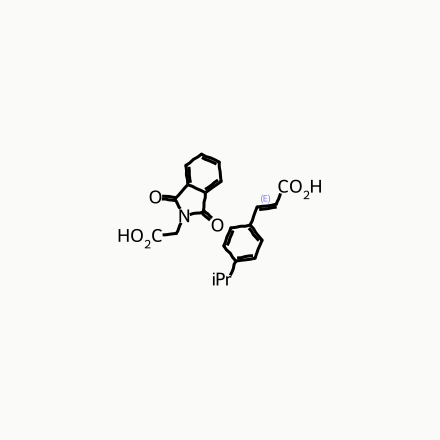 CC(C)c1ccc(/C=C/C(=O)O)cc1.O=C(O)CN1C(=O)c2ccccc2C1=O